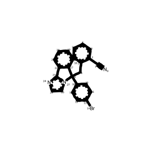 N#Cc1ccccc1CC1(c2ccc(Br)cc2)c2ccccc2-c2nccn21